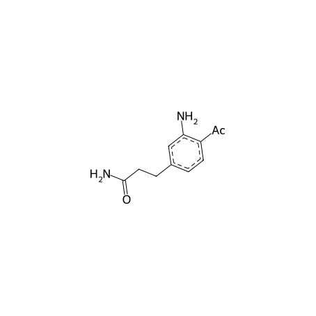 CC(=O)c1ccc(CCC(N)=O)cc1N